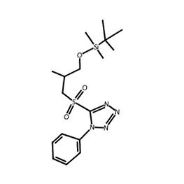 CC(CO[Si](C)(C)C(C)(C)C)CS(=O)(=O)c1nnnn1-c1ccccc1